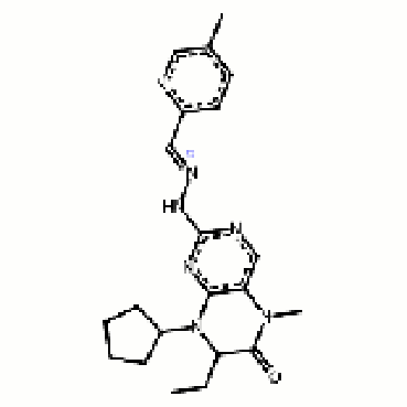 CCC1C(=O)N(C)c2cnc(N/N=C/c3ccc(C)cn3)nc2N1C1CCCC1